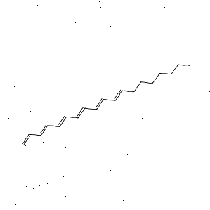 [CH]=CC=CC=CC=CC=CC=CCCCCCCC